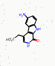 Nc1ccc2[nH]c3c(=O)[nH]cc(CC(=O)O)c3c2c1